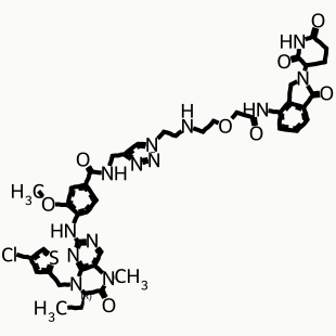 CC[C@@H]1C(=O)N(C)c2cnc(Nc3ccc(C(=O)NCc4cn(CCNCCOCC(=O)Nc5cccc6c5CN(C5CCC(=O)NC5=O)C6=O)nn4)cc3OC)nc2N1Cc1cc(Cl)cs1